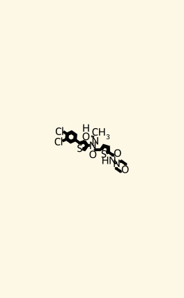 CC=NN(C(=O)c1ccc(C(=O)NN2CCOCC2)s1)c1csc(-c2ccc(Cl)c(Cl)c2)c1O